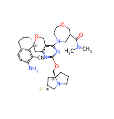 CN(C)C(=O)C1COCCN(c2nc(OC[C@@]34CCCN3C[C@H](F)C4)nc3c2CO[C@@]2(CCCc4ccc(N)c(C#N)c42)C3)C1